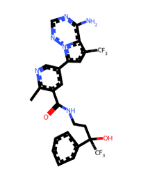 Cc1ncc(-c2cc(C(F)(F)F)c3c(N)ncnn23)cc1C(=O)NCCC(O)(c1ccccc1)C(F)(F)F